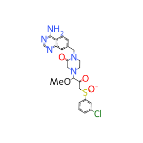 COC(C(=O)C[S+]([O-])c1cccc(Cl)c1)N1CCN(Cc2ccc3c(N)ncnc3c2)C(=O)C1